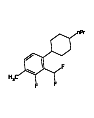 CCCC1CCC(c2ccc(C)c(F)c2C(F)F)CC1